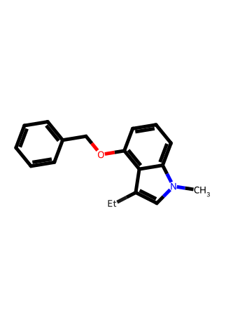 [CH2]Cc1cn(C)c2cccc(OCc3ccccc3)c12